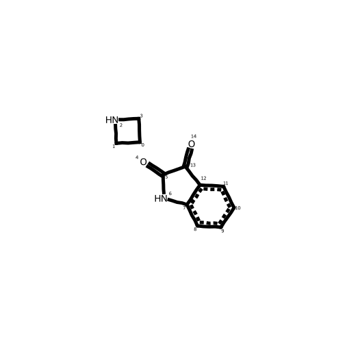 C1CNC1.O=C1Nc2ccccc2C1=O